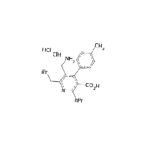 CCCc1nc(CC(C)C)c(CN)c(-c2ccc(C)cc2)c1C(=O)O.Cl.Cl